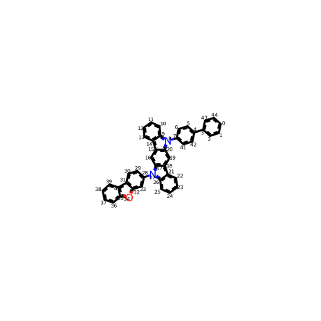 c1ccc(-c2ccc(-n3c4ccccc4c4cc5c(cc43)c3ccccc3n5-c3ccc4c(c3)oc3ccccc34)cc2)cc1